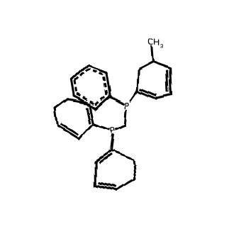 CC1C=CC=C(P(CP(C2=CCCC=C2)C2=CC=CCC2)c2ccccc2)C1